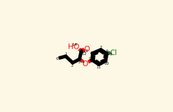 CCCC(Oc1ccc(Cl)cc1)C(=O)O